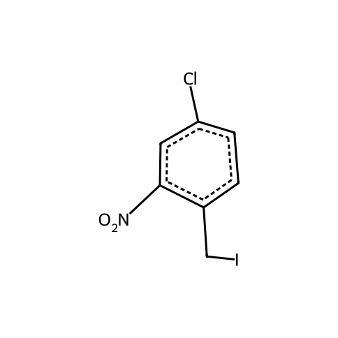 O=[N+]([O-])c1cc(Cl)ccc1CI